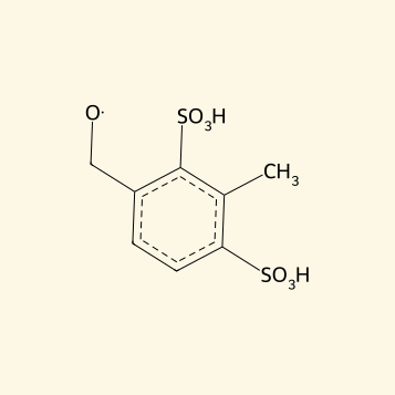 Cc1c(S(=O)(=O)O)ccc(C[O])c1S(=O)(=O)O